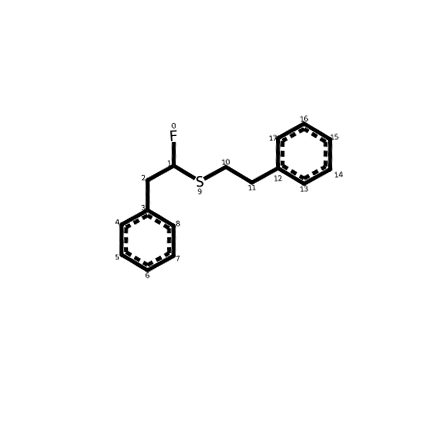 FC(Cc1ccccc1)SCCc1ccccc1